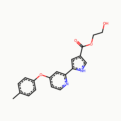 Cc1ccc(Oc2ccnc(-c3cc(C(=O)OCCO)c[nH]3)c2)cc1